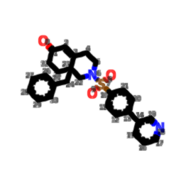 O=C1C=C2CCN(S(=O)(=O)c3ccc(-c4cccnc4)cc3)CC2(Cc2ccccc2)CC1